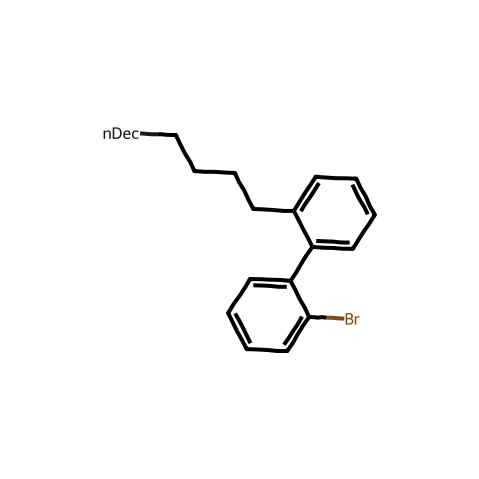 CCCCCCCCCCCCCCc1ccccc1-c1ccccc1Br